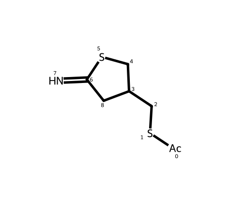 CC(=O)SCC1CSC(=N)C1